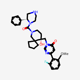 COc1cccc(F)c1-c1cc(=O)n(C[C@]2(O)CCN(C(=O)N3CCNC[C@H]3c3ccccc3)CC23CCCC3)cn1